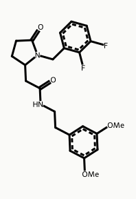 COc1cc(CCNC(=O)CC2CCC(=O)N2Cc2cccc(F)c2F)cc(OC)c1